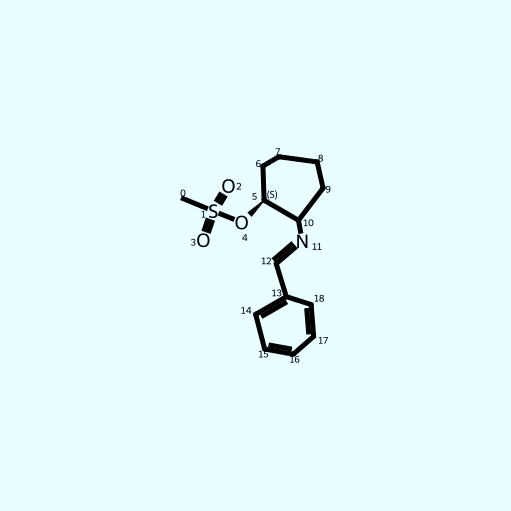 CS(=O)(=O)O[C@H]1CCCCC1N=Cc1ccccc1